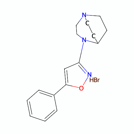 Br.c1ccc(-c2cc(N3CCN4CCC3CC4)no2)cc1